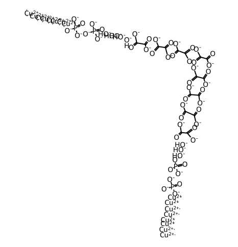 O=C([O-])C(=O)[O-].O=C([O-])C(=O)[O-].O=C([O-])C(=O)[O-].O=C([O-])C(=O)[O-].O=C([O-])C(=O)[O-].O=C([O-])C(=O)[O-].O=C([O-])C(=O)[O-].O=C([O-])C(=O)[O-].O=P([O-])([O-])[O-].O=P([O-])([O-])[O-].O=P([O-])([O-])[O-].O=P([O-])([O-])[O-].[Cu+2].[Cu+2].[Cu+2].[Cu+2].[Cu+2].[Cu+2].[Cu+2].[Cu+2].[Cu+2].[Cu+2].[Cu+2].[Cu+2].[Cu+2].[Cu+2].[Cu+2].[Cu+2].[OH-].[OH-].[OH-].[OH-].[OH-].[OH-].[OH-].[OH-]